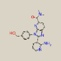 CN(C)C(=O)c1ccc2nc(-c3cccnc3N)n(-c3ccc(CO)cc3)c2n1